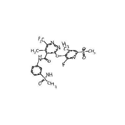 Cc1cc(S(C)(=O)=O)nc(F)c1Oc1nnc(C(F)(F)F)c(C)c1C(=O)Nc1cccc(S(C)(=N)=O)c1